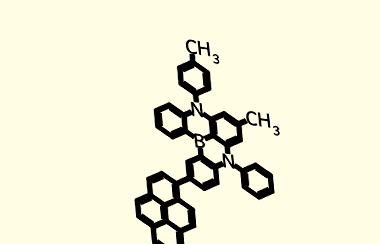 Cc1ccc(N2c3ccccc3B3c4cc(-c5ccc6ccc7cccc8ccc5c6c78)ccc4N(c4ccccc4)c4cc(C)cc2c43)cc1